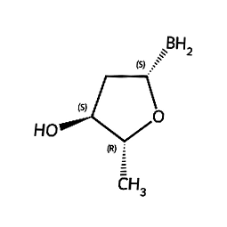 B[C@H]1C[C@H](O)[C@@H](C)O1